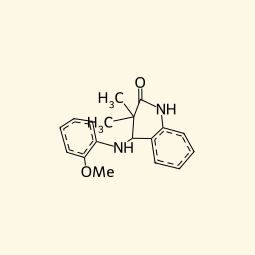 COc1ccccc1NC1c2ccccc2NC(=O)C1(C)C